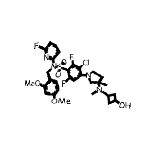 COc1ccc(CN(c2cccc(F)n2)S(=O)(=O)c2c(F)cc(N3CCC(C)(N(C)C4CC(O)C4)C3)c(Cl)c2F)c(OC)c1